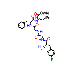 COC(=O)C(CC(C)C)NC(=O)[C@@H](Cc1ccccc1)NC(=O)CNC(=O)CNC(=O)[C@H](N)Cc1ccc(F)cc1